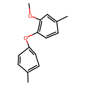 COc1cc(C)ccc1Oc1ccc(C)cc1